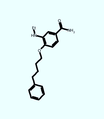 CCNc1cc(C(N)=O)ccc1OCCCCc1ccccc1